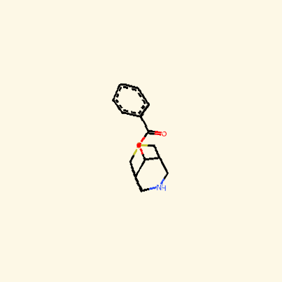 O=C(OC1C2CNCC1CSC2)c1ccccc1